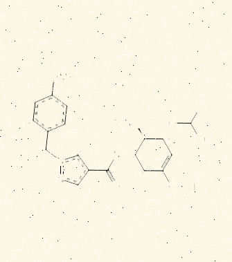 CCC(CC)O[C@@H]1C=C(C(=O)O)C[C@H](NC(=O)c2cnn(Cc3ccc(OC)cc3)c2)[C@H]1NC(C)=O